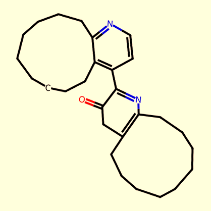 O=C1CC2=C(CCCCCCCCC2)N=C1c1ccnc2c1CCCCCCCCC2